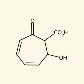 O=C(O)C1C(=O)C=CC=CC1O